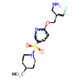 NC/C(=C\F)COc1ccc(S(=O)(=O)N2CCC(C(=O)O)CC2)cn1